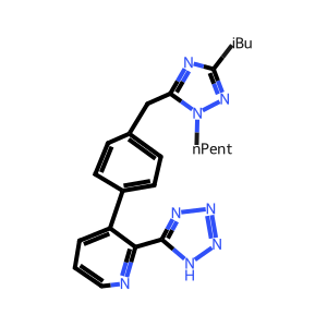 CCCCCn1nc(C(C)CC)nc1Cc1ccc(-c2cccnc2-c2nnn[nH]2)cc1